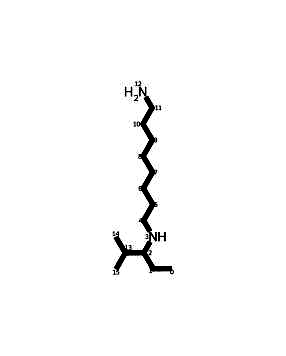 CCC(NCCCCCCCCN)C(C)C